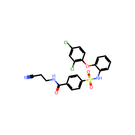 N#CCCNC(=O)c1ccc(S(=O)(=O)Nc2ccccc2Oc2ccc(Cl)cc2Cl)cc1